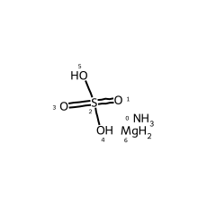 N.O=S(=O)(O)O.[MgH2]